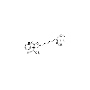 CO[Si](C)(CCCCCCCC[Si](c1ccccc1)(N(C)C)N(C)C)OC